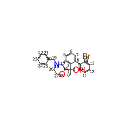 CC(O)(c1ccccc1-c1ccccc1Br)C1CN(Cc2ccccc2)CCO1